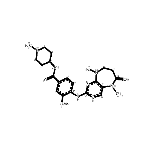 COc1cc(C(=O)NC2CCN(C)CC2)ccc1Nc1ncc2c(n1)N(C(C)C)CCC(=O)N2C